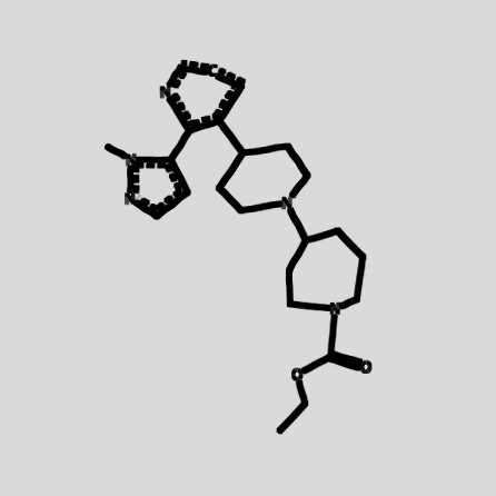 CCOC(=O)N1CCCC(N2CCC(c3cccnc3-c3ccnn3C)CC2)CC1